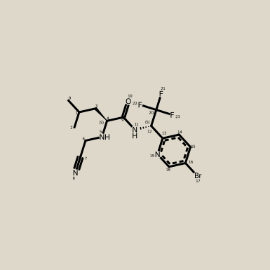 CC(C)C[C@H](NCC#N)C(=O)N[C@@H](c1ccc(Br)cn1)C(F)(F)F